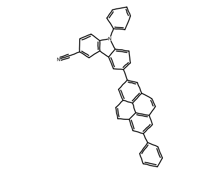 N#Cc1ccc2c(c1)c1cc(-c3cc4ccc5cc(-c6ccccc6)cc6ccc(c3)c4c56)ccc1n2-c1ccccc1